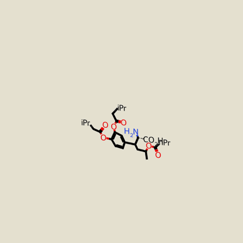 CCCC(=O)OC(C)CC(c1ccc(OC(=O)CC(C)C)c(OC(=O)CC(C)C)c1)[C@H](N)C(=O)O